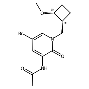 CO[C@H]1CC[C@H]1Cn1cc(Br)cc(NC(C)=O)c1=O